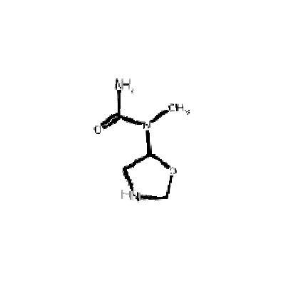 CN(C(N)=O)C1CNCO1